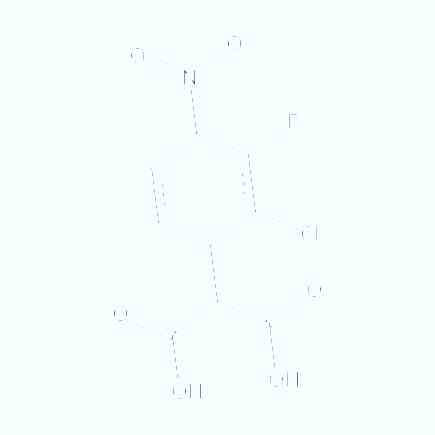 O=C(O)C(C(=O)O)c1ccc([N+](=O)[O-])c(F)c1Cl